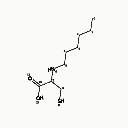 CCCCCCNC(CS)C(=O)O